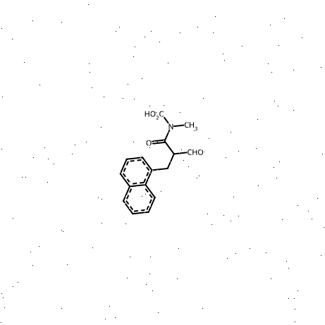 CN(C(=O)O)C(=O)C([C]=O)Cc1cccc2ccccc12